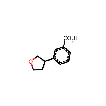 O=C(O)c1cccc(C2CCOC2)c1